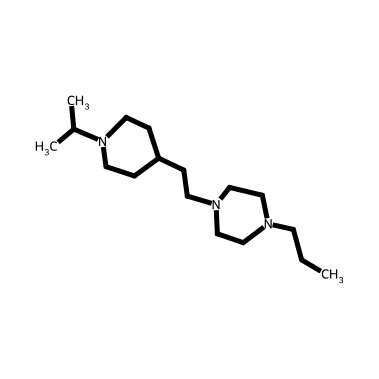 CCCN1CCN(CCC2CCN(C(C)C)CC2)CC1